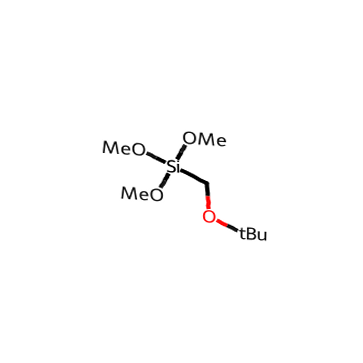 CO[Si](COC(C)(C)C)(OC)OC